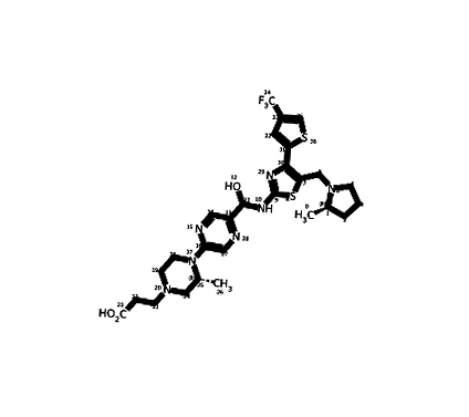 C[C@@H]1CCCN1Cc1sc(NC(O)c2cnc(N3CCN(CCC(=O)O)C[C@H]3C)cn2)nc1-c1cc(C(F)(F)F)cs1